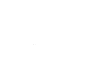 COCCC=CC(=O)OBr